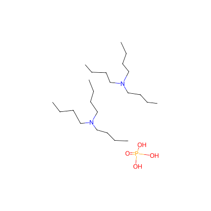 CCCCN(CCCC)CCCC.CCCCN(CCCC)CCCC.O=P(O)(O)O